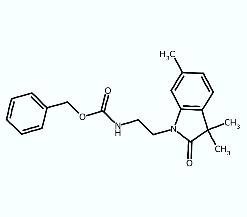 Cc1ccc2c(c1)N(CCNC(=O)OCc1ccccc1)C(=O)C2(C)C